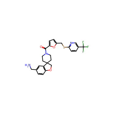 NCc1ccc2c(c1)C1(CCN(C(=O)c3ccc(CSc4ccc(C(F)(F)F)cn4)o3)CC1)CO2